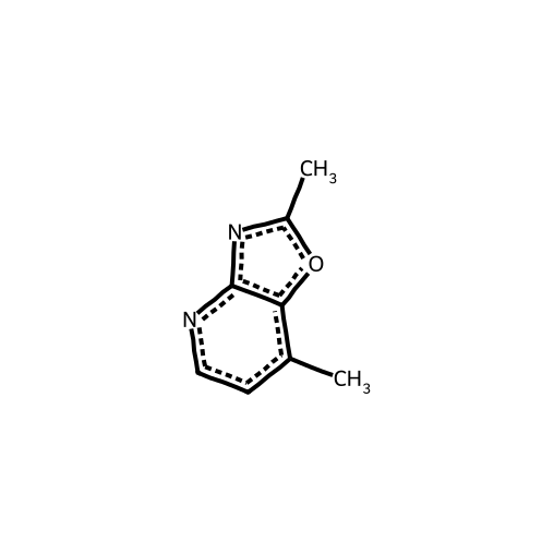 Cc1nc2nccc(C)c2o1